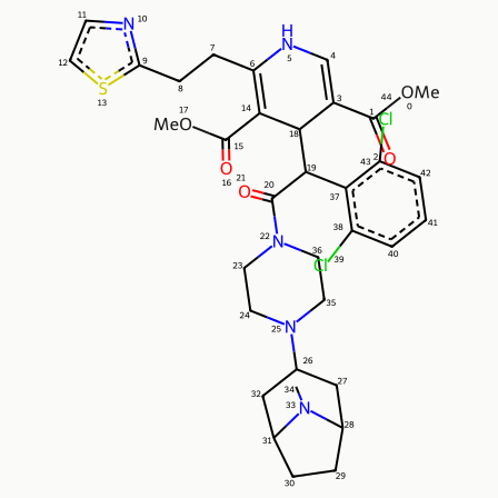 COC(=O)C1=CNC(CCc2nccs2)=C(C(=O)OC)C1C(C(=O)N1CCN(C2CC3CCC(C2)N3C)CC1)c1c(Cl)cccc1Cl